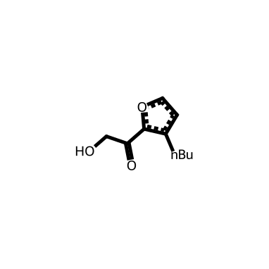 CCCCc1ccoc1C(=O)CO